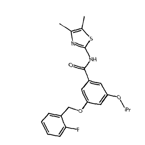 Cc1nc(NC(=O)c2cc(OCc3ccccc3F)cc(OC(C)C)c2)sc1C